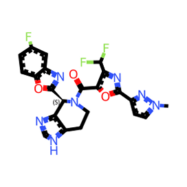 Cn1ccc(-c2nc(C(F)F)c(C(=O)N3CCc4[nH]cnc4[C@H]3c3nc4cc(F)ccc4o3)o2)n1